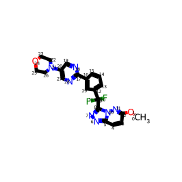 COc1ccc2nnc(C(F)(F)c3cccc(-c4ncc(N5CCOCC5)cn4)c3)n2n1